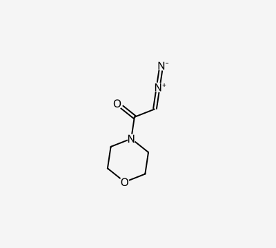 [N-]=[N+]=CC(=O)N1CCOCC1